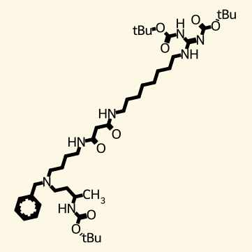 CC(CCN(CCCCNC(=O)CC(=O)NCCCCCCCCN/C(=N/C(=O)OC(C)(C)C)NC(=O)OC(C)(C)C)Cc1ccccc1)NC(=O)OC(C)(C)C